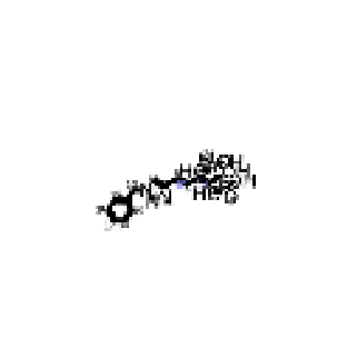 O=P(O)(O)C(O)(/C=C/C=C/c1cn(Cc2ccccc2)nn1)P(=O)(O)O